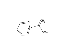 C=C(SC)c1ccccn1